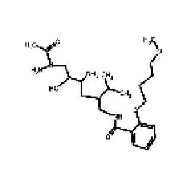 COCCCCOc1ccccc1C(=O)NCC(CC(N)C(O)CN(N)C(C)=O)C(C)C